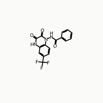 O=C(Nn1c(=O)c(=O)[nH]c2cc(C(F)(F)F)ccc21)c1ccccc1